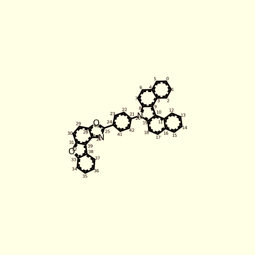 c1ccc2c(c1)ccc1c2c2c3ccccc3ccc2n1-c1ccc(-c2nc3c(ccc4oc5ccccc5c43)o2)cc1